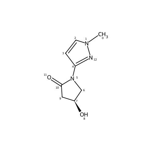 Cn1ccc(N2C[C@@H](O)CC2=O)n1